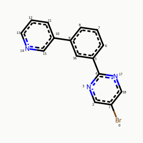 Brc1cnc(-c2cccc(-c3cccnc3)c2)nc1